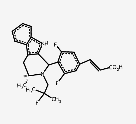 C[C@@H]1Cc2c([nH]c3ccccc23)C(c2c(F)cc(C=CC(=O)O)cc2F)N1CC(C)(C)F